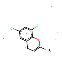 CC1=CCc2cc(Cl)cc(Cl)c2O1